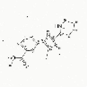 COC(=O)c1cccc(-c2nc(C3CCCCN3)sc2C)c1